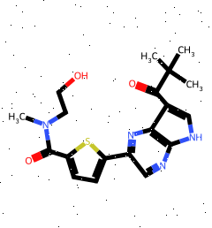 CN(CCO)C(=O)c1ccc(-c2cnc3[nH]cc(C(=O)C(C)(C)C)c3n2)s1